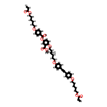 C=CC(=O)OCCCCCCOc1ccc(C#Cc2ccc(OCCCCCCOc3ccc(OC(=O)c4ccc(OCCCCCCOC(=O)C=C)cc4)cc3C(=O)OCCCCC)cc2)cc1